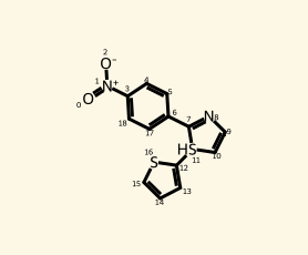 O=[N+]([O-])c1ccc(C2=N[C]=C[SH]2c2cccs2)cc1